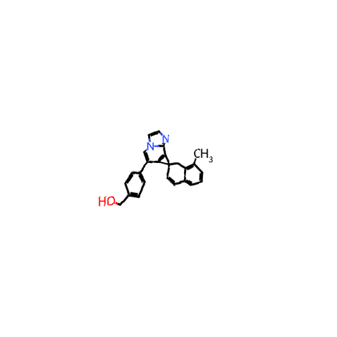 Cc1cccc2c1CC1(C=C2)c2c(-c3ccc(CO)cc3)cn3ccnc3c21